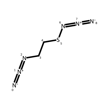 [N-]=[N+]=NCCSN=[N+]=[N-]